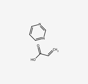 C=CC(=O)O.c1cncnc1